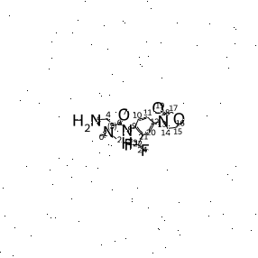 CN(C)[C@@H](CN)C(=O)Nc1ccc(N2CCOCC2=O)cc1C(F)F